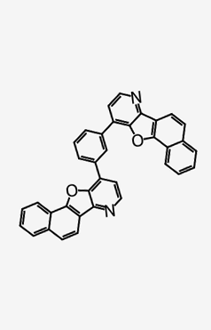 c1cc(-c2ccnc3c2oc2c4ccccc4ccc32)cc(-c2ccnc3c2oc2c4ccccc4ccc32)c1